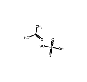 CC(=O)O.O=S(O)(O)=S